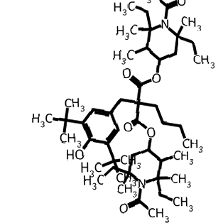 CCCCC(Cc1cc(C(C)(C)C)c(O)c(C(C)(C)C)c1)(C(=O)OC1CC(C)(CC)N(C(C)=O)C(C)(CC)C1C)C(=O)OC1CC(C)(CC)N(C(C)=O)C(C)(CC)C1C